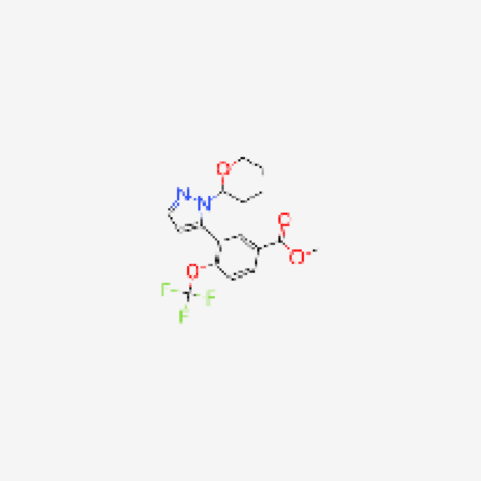 COC(=O)c1ccc(OC(F)(F)F)c(-c2ccnn2C2CCCCO2)c1